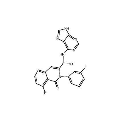 CC[C@@H](Nc1ncnc2[nH]cnc12)c1cc2cccc(F)c2c(=O)n1-c1cccc(F)c1